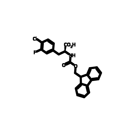 O=C(N[C@@H](Cc1ccc(Cl)c(F)c1)C(=O)O)OCC1c2ccccc2-c2ccccc21